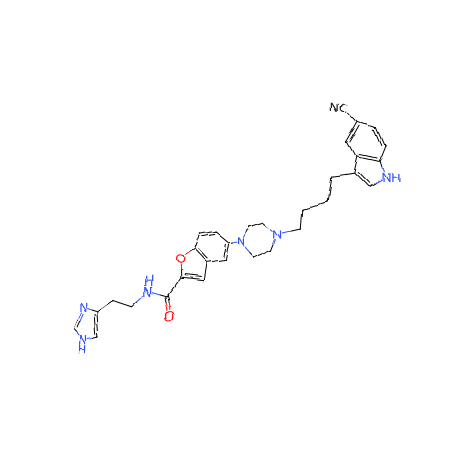 N#Cc1ccc2[nH]cc(CCCCN3CCN(c4ccc5oc(C(=O)NCCc6c[nH]cn6)cc5c4)CC3)c2c1